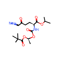 CC(C)OC(=O)[C@H](CCC(=O)C=[N+]=[N-])NC(=O)O[C@@H](C)OC(=O)C(C)(C)C